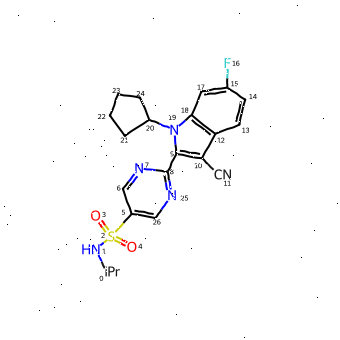 CC(C)NS(=O)(=O)c1cnc(-c2c(C#N)c3ccc(F)cc3n2C2CCCC2)nc1